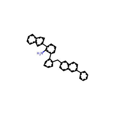 Nc1c(-c2ccc3ccccc3c2)cccc1-c1ccccc1Cc1ccc2cc(-c3ccccc3)ccc2c1